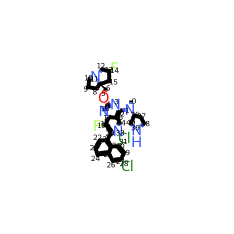 CN(c1nc(OC[C@@]23CCCN2C[C@H](F)C3)nc2c(F)c(-c3cccc4cc(Cl)cc(Cl)c34)ncc12)[C@@H]1CCNC1